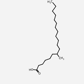 CCCCCCCCCCCCC(C)CCCCCC(=O)O